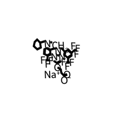 CCN(CC1CCCCC1)c1ccc(C(F)(F)F)cc1CN(Cc1cc(C(F)(F)F)cc(C(F)(F)F)c1)c1ncc(OCCC(=O)[O-])cn1.[Na+]